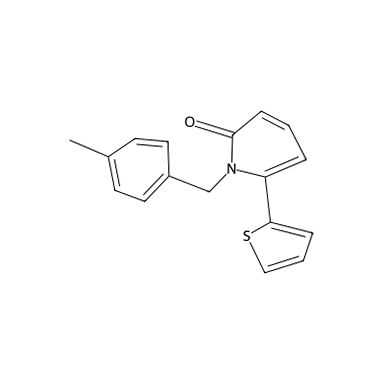 Cc1ccc(Cn2c(-c3cccs3)cccc2=O)cc1